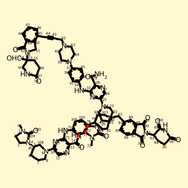 CN1CCN([C@@H]2CCCN(c3cnc(C(=O)NC4CN([C@H]5CCCN(c6cnc(C(N)=O)c(Nc7ccc(N8CCN(CC#Cc9cccc%10c9CN(C9(C=O)CCC(=O)NC9)C%10=O)CC8)cc7)n6)C5)C(=O)N4C)c(Nc4ccc(C5CCN(Cc6ccc7c(c6)C(=O)N(C6CCC(=O)NC6=O)C7=O)CC5)cc4)n3)C2)C1=O